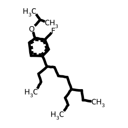 CCCC(CCC)CCCC(CCC)c1ccc(OC(C)C)c(F)c1